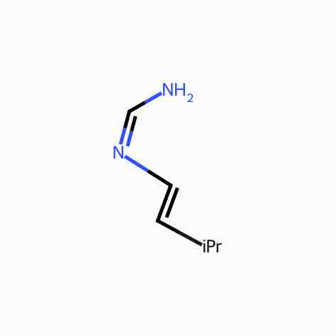 CC(C)/C=C/N=C\N